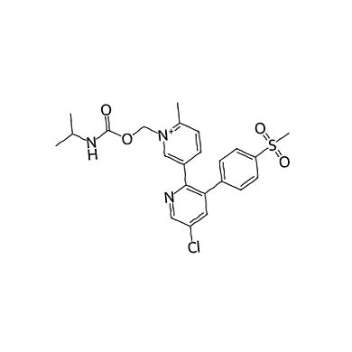 Cc1ccc(-c2ncc(Cl)cc2-c2ccc(S(C)(=O)=O)cc2)c[n+]1COC(=O)NC(C)C